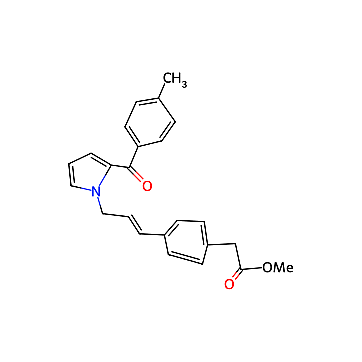 COC(=O)Cc1ccc(/C=C/Cn2cccc2C(=O)c2ccc(C)cc2)cc1